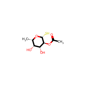 CC(=O)O[C@H]1[C@H](O)[C@H](O)[C@H](C)O[C@@H]1S